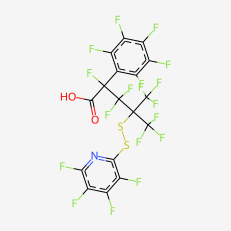 O=C(O)C(F)(c1c(F)c(F)c(F)c(F)c1F)C(F)(F)C(SSc1nc(F)c(F)c(F)c1F)(C(F)(F)F)C(F)(F)F